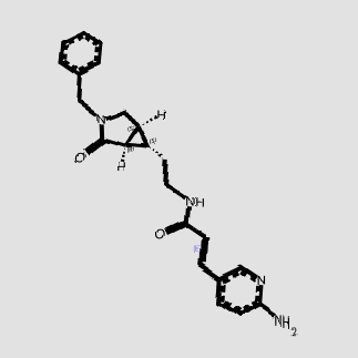 Nc1ccc(/C=C/C(=O)NCC[C@H]2[C@@H]3CN(Cc4ccccc4)C(=O)[C@H]23)cn1